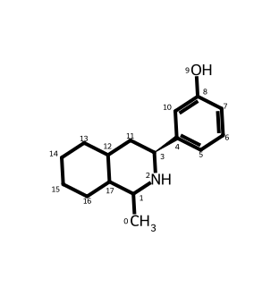 CC1N[C@H](c2cccc(O)c2)CC2CCCCC21